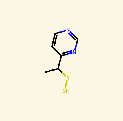 CC(SS)c1ccncn1